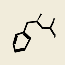 C[C@@H](Cc1ccccc1)CC(F)F